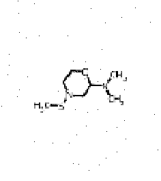 CSN1CCOC(N(C)C)C1